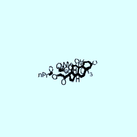 CCCC(=O)OCC(=O)[C@@]1(OCOC)CC[C@H]2[C@@H]3CCC4=CC(=O)CC[C@]4(C)[C@H]3[C@@H](O)C[C@@]21C